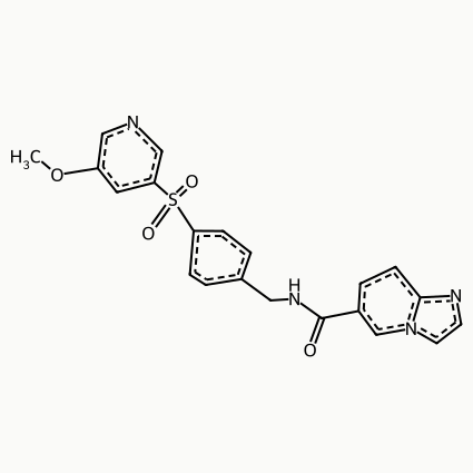 COc1cncc(S(=O)(=O)c2ccc(CNC(=O)c3ccc4nccn4c3)cc2)c1